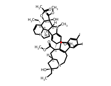 CC[C@]1(O)C[C@H]2CN(CCC3=C(Cc4cc(I)c(I)cc43)[C@@](C(=O)OC)(C3C=C4C(=CC3OC)N(C)[C@H]3[C@@](O)(C(=O)OC)[C@H](OC(C)=O)[C@]5(CC)C=CCN6CC[C@]43[C@@H]65)C2)C1